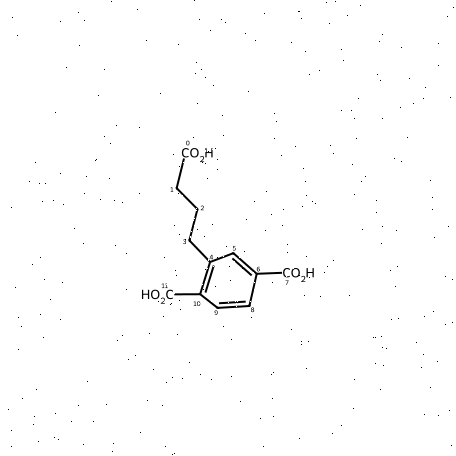 O=C(O)CCCc1cc(C(=O)O)ccc1C(=O)O